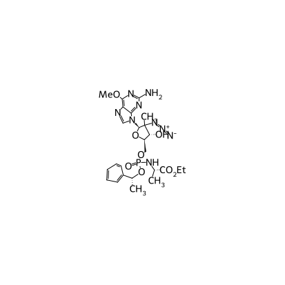 CCOC(=O)[C@H](C)NP(=O)(OC[C@H]1O[C@@H](n2cnc3c(OC)nc(N)nc32)C(C)(N=[N+]=[N-])[C@@H]1O)O[C@H](C)c1ccccc1